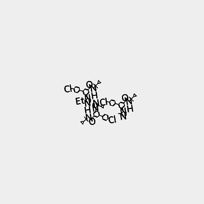 CC(C)(NC(=O)c1cc(-c2ccc(Cl)cc2)cc(-n2ccnc2C2CC2)c1)C1CC1.CCc1nccn1-c1cc(C(=O)NC(C)(C)C2CC2)cc(-c2ccc(Cl)cc2)c1.Cc1nccn1-c1cc(C(=O)NC(C)(C)C2CC2)cc(-c2ccc(Cl)cc2)c1